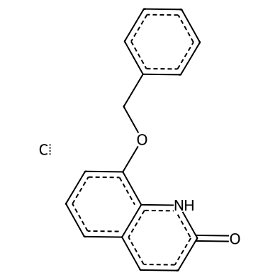 O=c1ccc2cccc(OCc3ccccc3)c2[nH]1.[C]